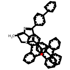 C\C1=C(c2ccc3c(c2)c2ccccc2c2c4ccccc4c4ccccc4c32)/N=C(c2ccc(-c3ccccc3)cc2)\N=C(\c2ccc(-c3ccccc3)cc2)CC1